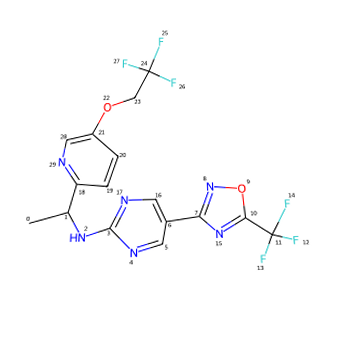 CC(Nc1ncc(-c2noc(C(F)(F)F)n2)cn1)c1ccc(OCC(F)(F)F)cn1